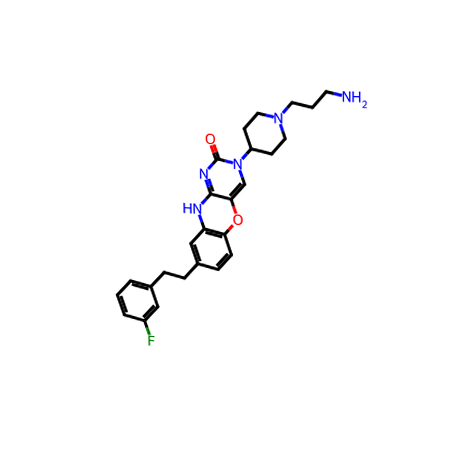 NCCCN1CCC(n2cc3c(nc2=O)Nc2cc(CCc4cccc(F)c4)ccc2O3)CC1